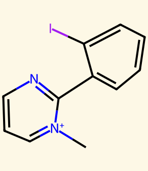 C[n+]1cccnc1-c1ccccc1I